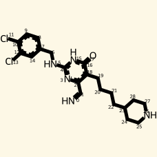 N=Cc1nc(NCc2ccc(Cl)c(Cl)c2)[nH]c(=O)c1CCCCC1CCNCC1